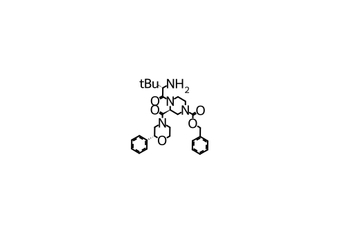 CC(C)(C)[C@H](N)C(=O)N1CCN(C(=O)OCc2ccccc2)C[C@H]1C(=O)N1CCO[C@H](c2ccccc2)C1